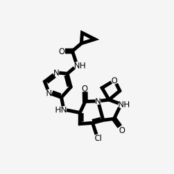 O=C1NC2(COC2)n2c1c(Cl)cc(Nc1cc(NC(=O)C3CC3)ncn1)c2=O